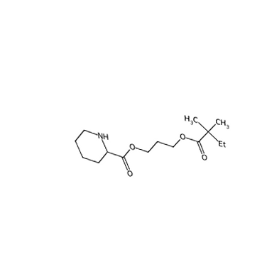 CCC(C)(C)C(=O)OCCCOC(=O)C1CCCCN1